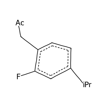 CC(=O)Cc1ccc(C(C)C)cc1F